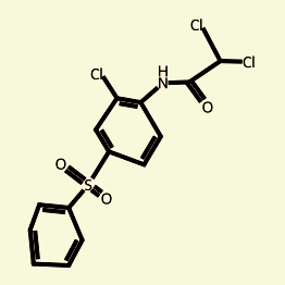 O=C(Nc1ccc(S(=O)(=O)c2ccccc2)cc1Cl)C(Cl)Cl